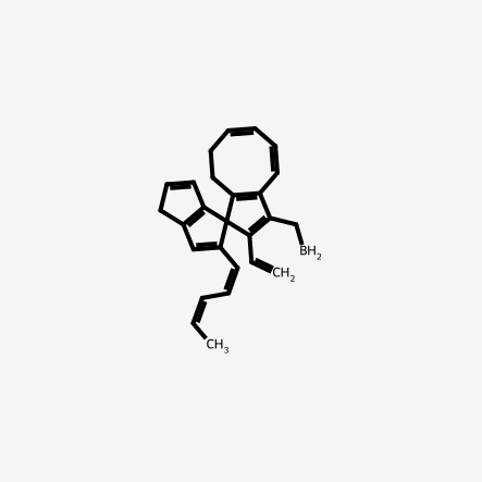 BCC1=C(C=C)C2(C(/C=C\C=C/C)=CC3=C2C=CC3)C2=C1C=C/C=C\CC2